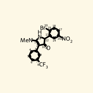 CNC1=C(c2cccc(C(F)(F)F)c2)C(=O)C(c2cc([N+](=O)[O-])ccc2Br)N1